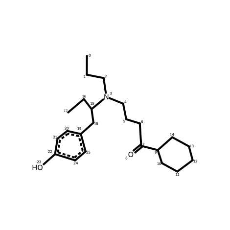 CCCN(CCCC(=O)C1CCCCC1)C(CC)Cc1ccc(O)cc1